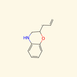 C=C[CH]C1CNc2ccccc2O1